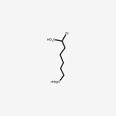 [CH2]CC(CCCCCCCCCCCC)S(=O)(=O)O